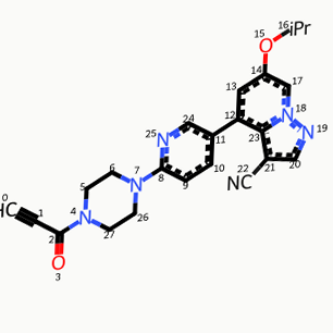 C#CC(=O)N1CCN(c2ccc(-c3cc(OC(C)C)cn4ncc(C#N)c34)cn2)CC1